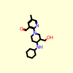 Cc1cnc(N2CCC(NC3CCCCC3)C(CO)C2)c(C=O)c1